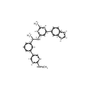 CNc1ncc(-c2cccc(C(C)Nc3cc(-c4ccc5ncsc5c4)nc(C)n3)c2)cn1